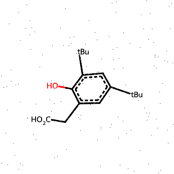 CC(C)(C)c1cc(CC(=O)O)c(O)c(C(C)(C)C)c1